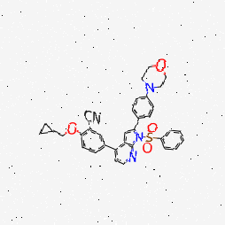 N#Cc1cc(-c2ccnc3c2cc(-c2ccc(N4CCOCC4)cc2)n3S(=O)(=O)c2ccccc2)ccc1OCC1CC1